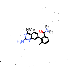 CCN(CC)C(=O)c1cccc(C)c1-c1ccc2c(NC)nc(N)nc2c1